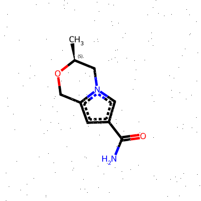 C[C@H]1Cn2cc(C(N)=O)cc2CO1